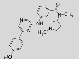 CN1CCC(N(C)C(=O)c2cccc(Nc3cncc(-c4ccc(O)cc4)n3)c2)C1